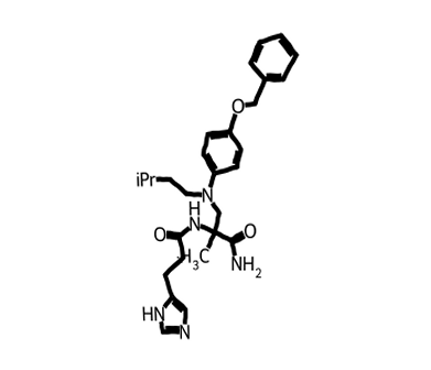 CC(C)CCN(CC(C)(NC(=O)[CH]Cc1cnc[nH]1)C(N)=O)c1ccc(OCc2ccccc2)cc1